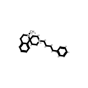 CN1CCc2ccccc2C12CCN(CCCCc1ccccc1)CC2